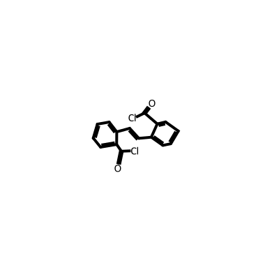 O=C(Cl)c1ccccc1/C=C/c1ccccc1C(=O)Cl